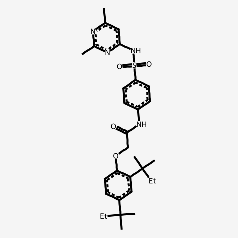 CCC(C)(C)c1ccc(OCC(=O)Nc2ccc(S(=O)(=O)Nc3cc(C)nc(C)n3)cc2)c(C(C)(C)CC)c1